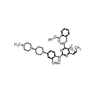 C/C=C\c1nc(Nc2ccc(N3CCC(N4CCN(C)CC4)CC3)cc2OC)nc(NCc2ccccc2NOC(C)C)c1C